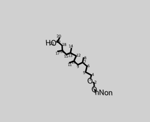 CCCCCCCCCOCOCCCC(C)CC(C)CC(C)CC(C)CC(C)O